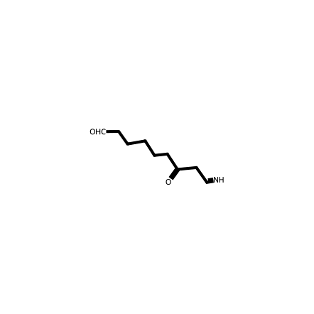 N=CCC(=O)CCCCCC=O